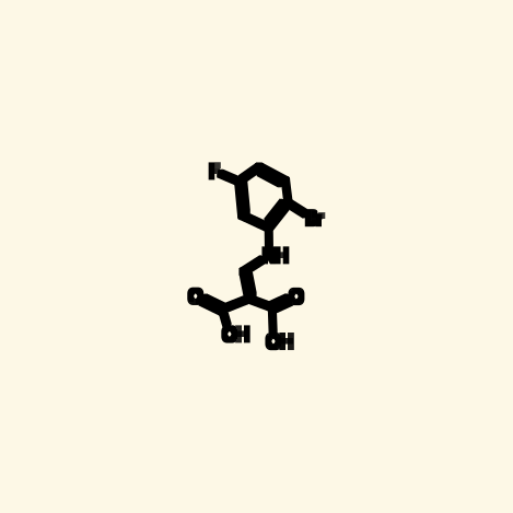 O=C(O)C(=CNc1cc(F)ccc1Br)C(=O)O